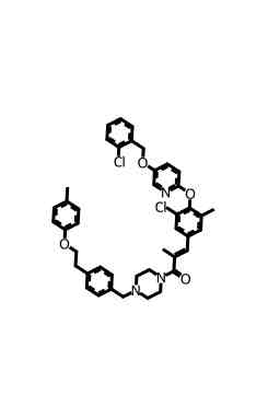 C/C(=C\c1cc(C)c(Oc2ccc(OCc3ccccc3Cl)cn2)c(Cl)c1)C(=O)N1CCN(Cc2ccc(CCOc3ccc(C)cc3)cc2)CC1